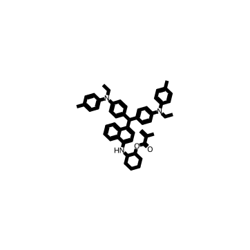 C=C(C)C(=O)OC1CCCCC1Nc1ccc(C(c2ccc(N(CC)c3ccc(C)cc3)cc2)c2ccc(N(CC)c3ccc(C)cc3)cc2)c2ccccc12